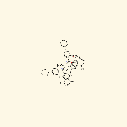 CCc1c(/C(=C\C2(/C=C(/c3ccc(C4CCCCC4)cc3OC)c3ccc(C(C)Cl)c(C(C)S)c3CC)OC(=O)c3ccccc32)c2ccc(C3CCCCC3)cc2OC)ccc(C(C)Cl)c1C(C)S